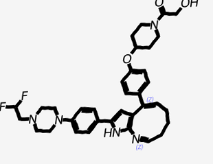 O=C(CO)N1CCC(Oc2ccc(/C3=C/CCC/C=N\c4[nH]c(-c5ccc(N6CCN(CC(F)F)CC6)cc5)cc43)cc2)CC1